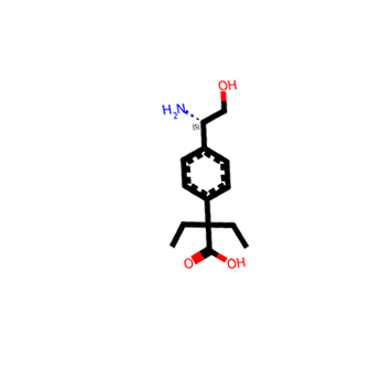 CCC(CC)(C(=O)O)c1ccc([C@H](N)CO)cc1